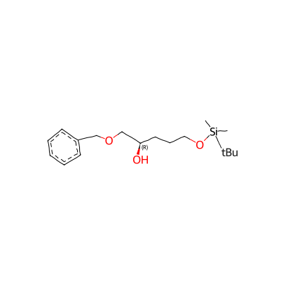 CC(C)(C)[Si](C)(C)OCCC[C@@H](O)COCc1ccccc1